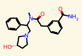 CN(C(=O)Cc1cccc(C(N)=O)c1)C(CN1CC[C@H](O)C1)c1ccccc1